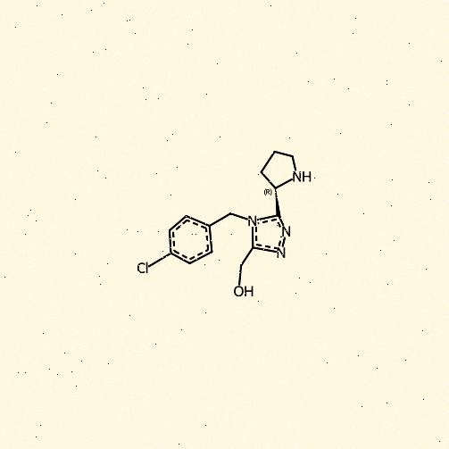 OCc1nnc([C@H]2CCCN2)n1Cc1ccc(Cl)cc1